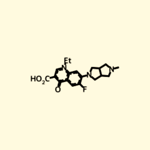 CCn1cc(C(=O)O)c(=O)c2cc(F)c(N3CC4CN(C)CC4C3)cc21